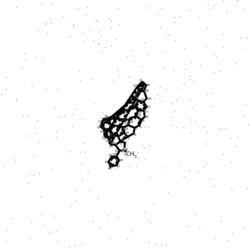 CN1CC23C=C4CC5C=C6Cc7cc8c9c%10c%11c%12c%13c(c6c7c9%12)C5c5c4c2c2c4c(cc6c(c4c%11c2c5%13)C%10C(C=6)C8)C3C1c1ccccc1